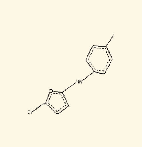 Cc1ccc(NCc2ccc(Cl)o2)cc1